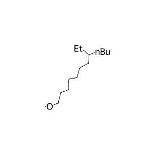 CCCCC(CC)CCCCCCC[O]